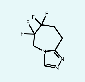 FC1(F)CCc2nncn2CC1(F)F